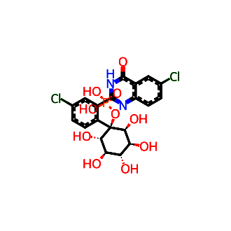 O=c1[nH]c(-c2cc(Cl)ccc2[C@@]2(OP(=O)(O)O)[C@@H](O)[C@H](O)[C@@H](O)[C@H](O)[C@@H]2O)nc2ccc(Cl)cc12